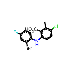 Cc1c(Cl)ccc(Nc2ccc(F)cc2C(C)C)c1C(=O)O